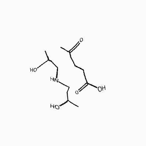 CC(=O)CCC(=O)O.CC(O)CNCC(C)O